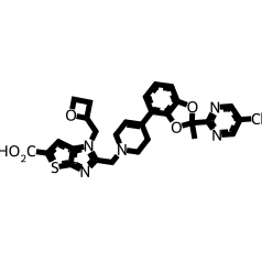 CC1(c2ncc(Cl)cn2)Oc2cccc(C3=CCN(Cc4nc5sc(C(=O)O)cc5n4CC4CCO4)CC3)c2O1